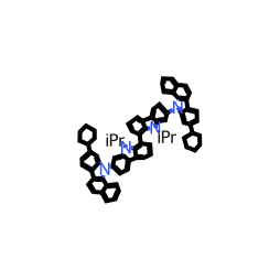 CC(C)n1c2cc(-n3c4cc(C5CCCCC5)ccc4c4ccc5ccccc5c43)ccc2c2cccc(-c3cccc4c5ccc(-n6c7cc(C8CCCCC8)ccc7c7ccc8ccccc8c76)cc5n(C(C)C)c34)c21